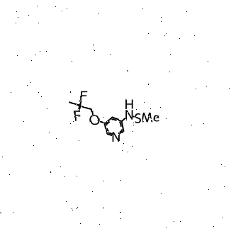 CSNc1cncc(OCC(C)(F)F)c1